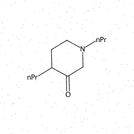 CCCC1CCN(CCC)CC1=O